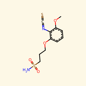 COc1cccc(OCCCS(N)(=O)=O)c1N=C=S